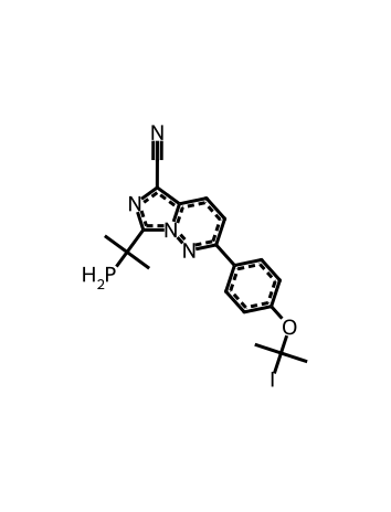 CC(C)(I)Oc1ccc(-c2ccc3c(C#N)nc(C(C)(C)P)n3n2)cc1